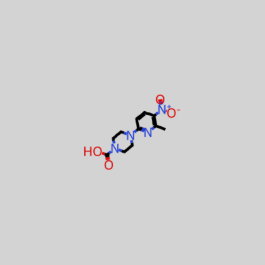 Cc1nc(N2CCN(C(=O)O)CC2)ccc1[N+](=O)[O-]